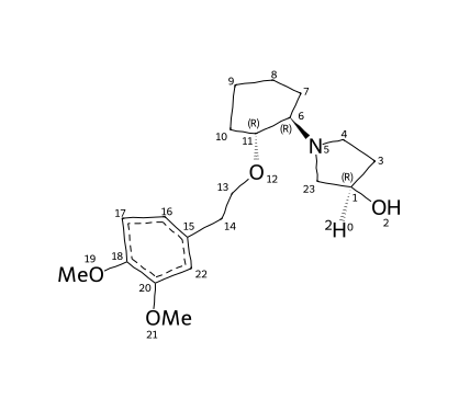 [2H][C@@]1(O)CCN([C@@H]2CCCC[C@H]2OCCc2ccc(OC)c(OC)c2)C1